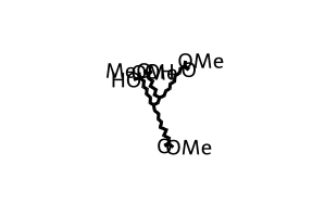 COC(=O)CCCCCCCCC(CCCCCCC(O)OC)CC(CCCCCCCCC(=O)OC)CCCCCC(O)OC